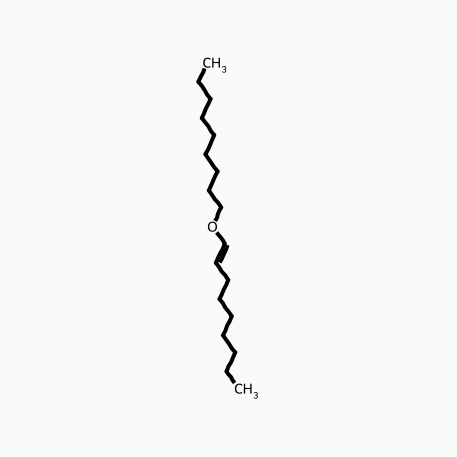 CCCCCCCC=COCCCCCCCCC